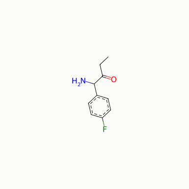 CCC(=O)C(N)c1ccc(F)cc1